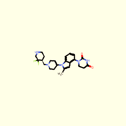 Cc1cc2c(N3CCC(=O)NC3=O)cccc2n1C1CCN(C[C@@H]2CCNCC2(F)F)CC1